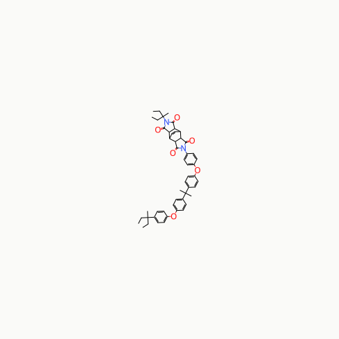 CCC(C)(CC)c1ccc(Oc2ccc(C(C)(C)c3ccc(Oc4ccc(N5C(=O)C6C7C=CC(C6C5=O)C5C(=O)N(C(C)(CC)CC)C(=O)C75)cc4)cc3)cc2)cc1